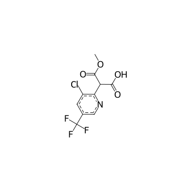 COC(=O)C(C(=O)O)c1ncc(C(F)(F)F)cc1Cl